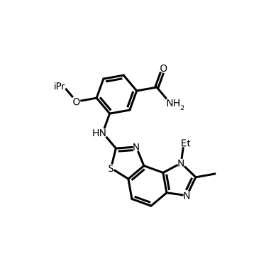 CCn1c(C)nc2ccc3sc(Nc4cc(C(N)=O)ccc4OC(C)C)nc3c21